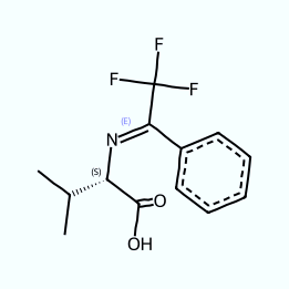 CC(C)[C@H](/N=C(\c1ccccc1)C(F)(F)F)C(=O)O